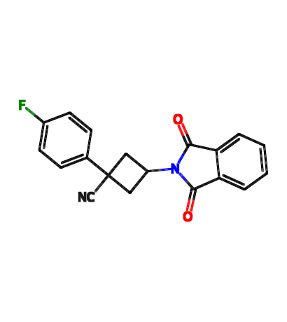 N#CC1(c2ccc(F)cc2)CC(N2C(=O)c3ccccc3C2=O)C1